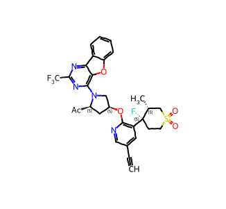 C#Cc1cnc(O[C@H]2C[C@@H](C(C)=O)N(c3nc(C(F)(F)F)nc4c3oc3ccccc34)C2)c([C@]2(F)CCS(=O)(=O)C[C@H]2C)c1